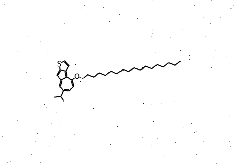 CCCCCCCCCCCCCCCCCCOc1ccc(C(C)C)cc2cc3sccc3c1-2